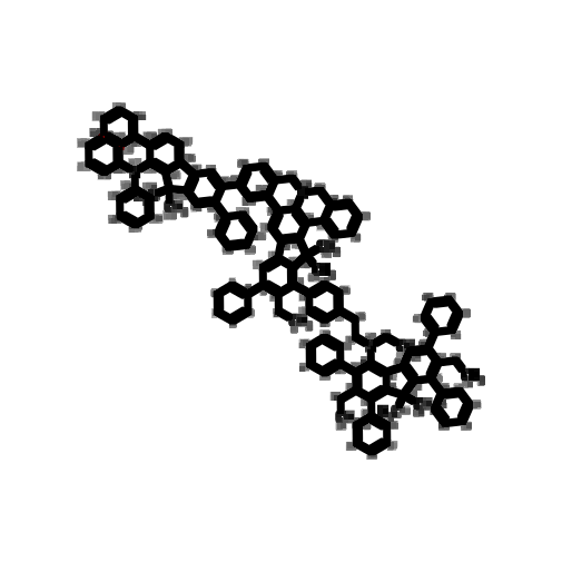 CCc1c(-c2ccccc2)cc2c(c1-c1ccc(CCN(CC)c3c(-c4ccccc4)c(CC)c(-c4ccccc4)c4c3-c3cc(-c5ccccc5)c(CC)c(-c5ccccc5)c3C4(C)C)cc1)C(C)(C)c1c-2cc2c3c1-c1ccccc1CN3Cc1ccc(-c3cc4c(cc3-c3ccccc3)C(C)(C)c3c-4ccc(-c4ccccc4)c3N(c3ccccc3)c3ccccc3)cc1-2